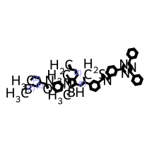 C=C/C=C\c1c(/C=C(\C=C)c2cccc(-c3nc4cc(-c5nc(-c6ccccc6)nc(-c6ccccc6)n5)ccc4s3)c2)c(BC)n(-c2ccc3oc(C(/C=C\C)=C/C=B\C)nc3c2)c1C